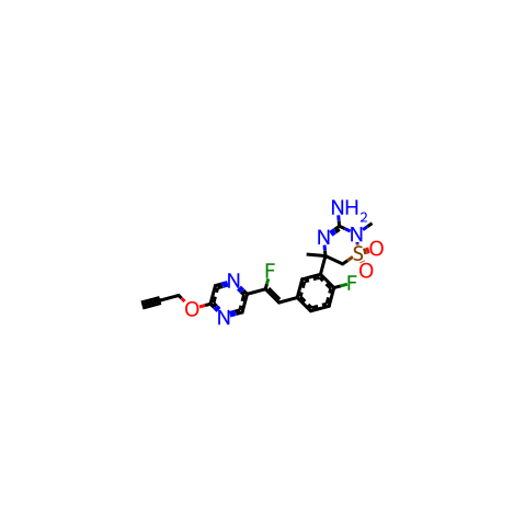 C#CCOc1cnc(C(F)=Cc2ccc(F)c(C3(C)CS(=O)(=O)N(C)C(N)=N3)c2)cn1